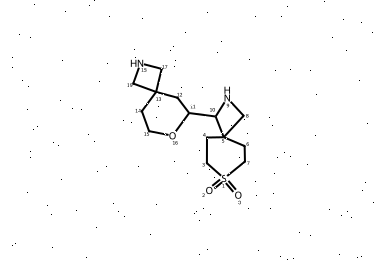 O=S1(=O)CCC2(CC1)CNC2C1CC2(CCO1)CNC2